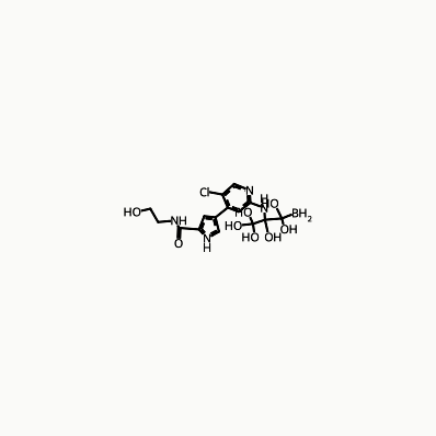 BC(O)(O)C(O)(Nc1cc(-c2c[nH]c(C(=O)NCCO)c2)c(Cl)cn1)C(O)(O)O